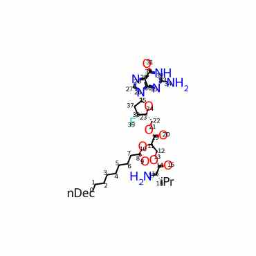 CCCCCCCCCCCCCCCCCC(=O)OC(COC(=O)[C@@H](N)C(C)C)C(=O)OC[C@H]1O[C@@H](n2cnc3c(=O)[nH]c(N)nc32)C[C@@H]1F